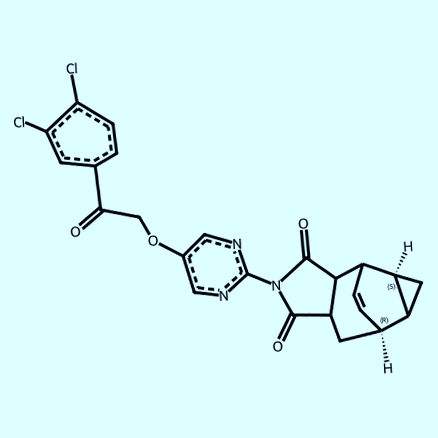 O=C(COc1cnc(N2C(=O)C3C[C@H]4C=CC(C3C2=O)[C@H]2CC24)nc1)c1ccc(Cl)c(Cl)c1